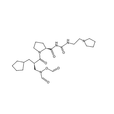 O=CON(C=O)C[C@@H](CC1CCCC1)C(=O)N1CCC[C@H]1C(=O)NC(=O)NCCN1CCCC1